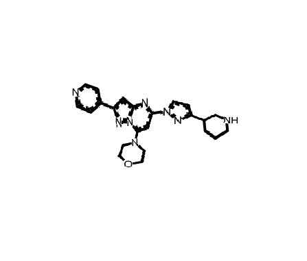 c1cc(-c2cc3nc(-n4ccc(C5CCCNC5)n4)cc(N4CCOCC4)n3n2)ccn1